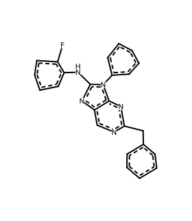 Fc1ccccc1Nc1nc2cnc(Cc3ccccc3)nc2n1-c1ccccc1